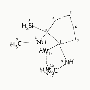 CNC1([SiH3])CCCCC1(NC)NC